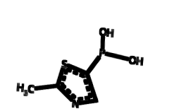 Cc1ncc(P(O)O)s1